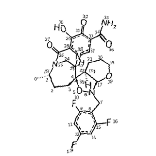 C[C@H]1CC[C@@]2(ON(Cc3c(F)cc(F)cc3F)C3OCCC[C@@H]32)[C@H]2CN1C(=O)c1c(O)c(=O)c(C(N)=O)cn12